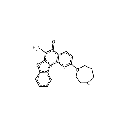 Nc1c(=O)c2ccc(N3CCCOCC3)nc2n2c1sc1ccccc12